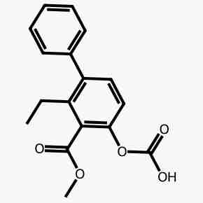 CCc1c(-c2ccccc2)ccc(OC(=O)O)c1C(=O)OC